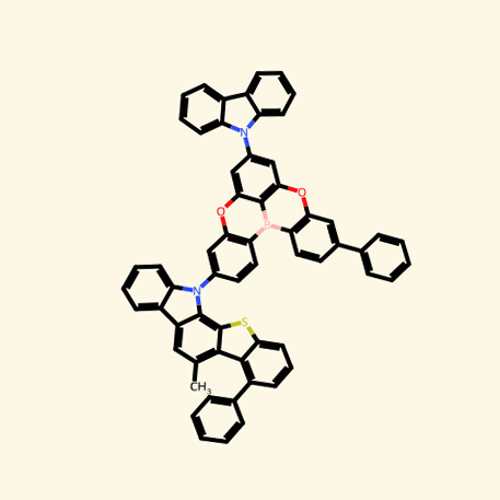 Cc1cc2c3ccccc3n(-c3ccc4c(c3)Oc3cc(-n5c6ccccc6c6ccccc65)cc5c3B4c3ccc(-c4ccccc4)cc3O5)c2c2sc3cccc(-c4ccccc4)c3c12